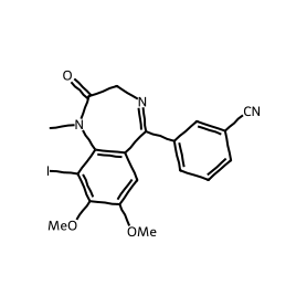 COc1cc2c(c(I)c1OC)N(C)C(=O)CN=C2c1cccc(C#N)c1